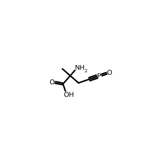 CC(N)(CC#P=O)C(=O)O